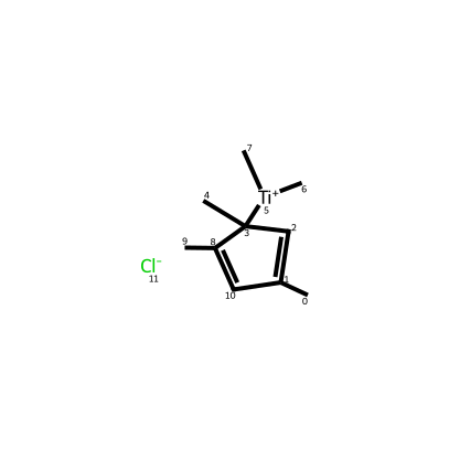 CC1=C[C](C)([Ti+]([CH3])[CH3])C(C)=C1.[Cl-]